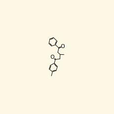 Cc1ccc(C(=O)CC(C)CC(=O)c2ccccc2)cc1